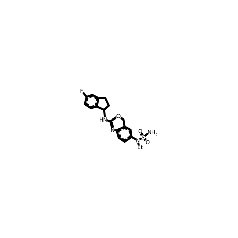 CCN(c1ccc2c(c1)COC(NC1CCc3cc(F)ccc31)=N2)S(N)(=O)=O